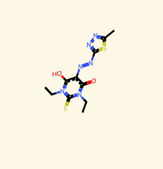 CCn1c(O)c(N=Nc2nnc(C)s2)c(=O)n(CC)c1=S